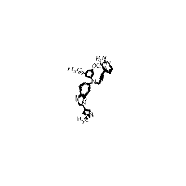 COc1cc(OC)cc(N(CC#Cc2ccnc(N)n2)c2ccc3ncc(-c4cnn(C)c4)nc3c2)c1